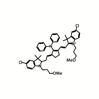 COCCCN1c2ccc(Cl)cc2C(C)(C)C1C/C=C1\CCC(/C=C/C2=[N+](CCCOC)c3ccc(Cl)cc3C2(C)C)=C1N(c1ccccc1)c1ccccc1